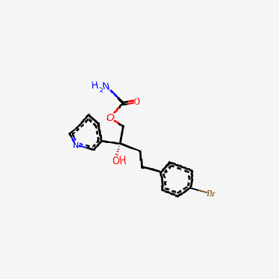 NC(=O)OC[C@@](O)(CCc1ccc(Br)cc1)c1cccnc1